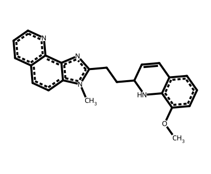 COc1cccc2c1NC(CCc1nc3c4ncccc4ccc3n1C)C=C2